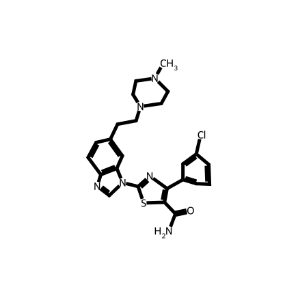 CN1CCN(CCc2ccc3ncn(-c4nc(-c5cccc(Cl)c5)c(C(N)=O)s4)c3c2)CC1